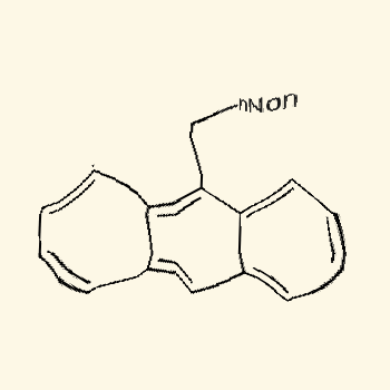 CCCCCCCCCCc1c2[c]cccc2cc2ccccc12